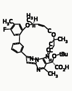 Cc1cc2c(cc1F)-c1cccc(c1)-c1cc3nc(C)c([C@H](OC(C)(C)C)C(=O)O)c(n3n1)N1CCC(C)(CC1)OCC=C[C@H](C)O2